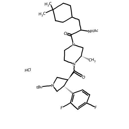 CC(=O)NC(CC1CCC(C)(C)CC1)C(=O)N1CCN(C(=O)[C@@H]2CN(C(C)(C)C)C[C@H]2c2ccc(F)cc2F)[C@@H](C)C1.Cl